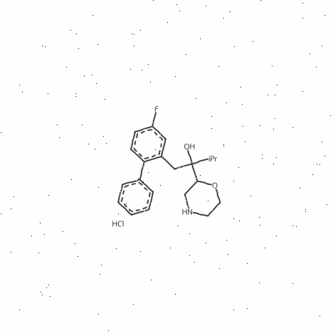 CC(C)C(O)(Cc1cc(F)ccc1-c1ccccc1)C1CNCCO1.Cl